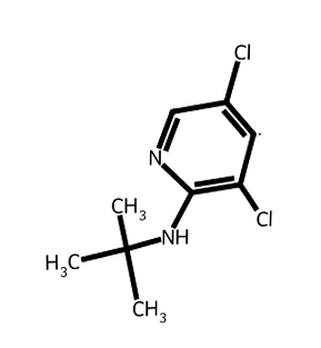 CC(C)(C)Nc1ncc(Cl)[c]c1Cl